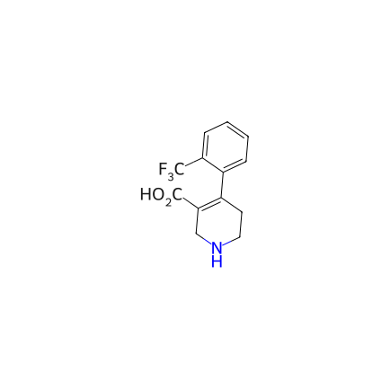 O=C(O)C1=C(c2ccccc2C(F)(F)F)CCNC1